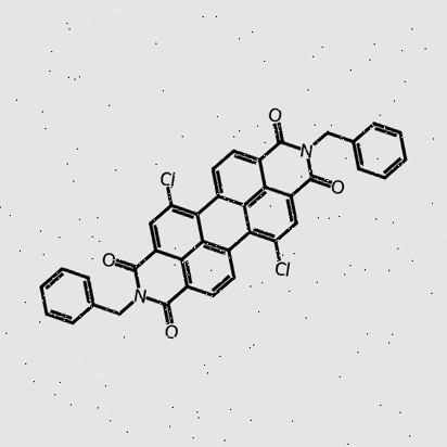 O=C1c2ccc3c4c(Cl)cc5c6c(ccc(c7c(Cl)cc(c2c37)C(=O)N1Cc1ccccc1)c64)C(=O)N(Cc1ccccc1)C5=O